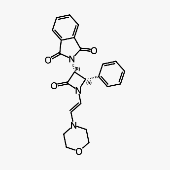 O=C1[C@H](N2C(=O)c3ccccc3C2=O)[C@H](c2ccccc2)N1C=CN1CCOCC1